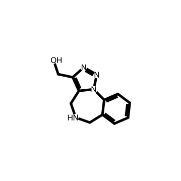 OCc1nnn2c1CNCc1ccccc1-2